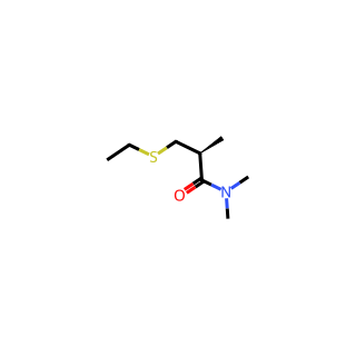 CCSC[C@@H](C)C(=O)N(C)C